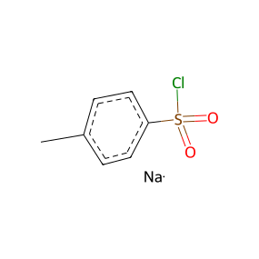 Cc1ccc(S(=O)(=O)Cl)cc1.[Na]